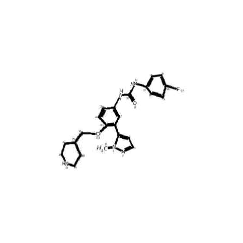 Cn1nccc1-c1cc(NC(=O)Nc2ccc(F)cc2)ccc1OCC1CCNCC1